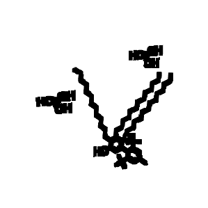 CCCCCCCCCCCCCOc1c(-c2c(C(C)(C)C)cc(C)cc2C(C)(C)C)cc(O)c(CCCCCCCCCCCCC)c1CCCCCCCCCCCCC.OP(O)O.OP(O)O